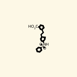 O=C(O)c1cccc(CCc2ccc(NS(=O)(=O)c3ccccc3)cc2)c1